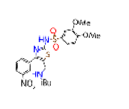 CCC(C)NCc1sc(NS(=O)(=O)c2ccc(OC)c(OC)c2)nc1-c1cccc([N+](=O)[O-])c1